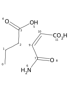 CCCC(=O)O.NC(=O)/C=C\C(=O)O